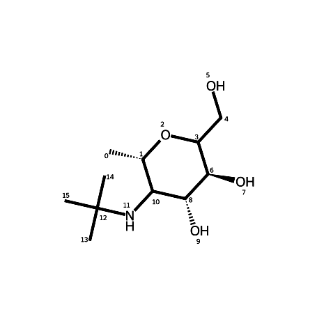 C[C@@H]1OC(CO)[C@@H](O)[C@H](O)C1NC(C)(C)C